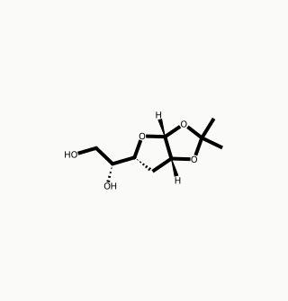 CC1(C)O[C@H]2O[C@@H]([C@H](O)CO)C[C@H]2O1